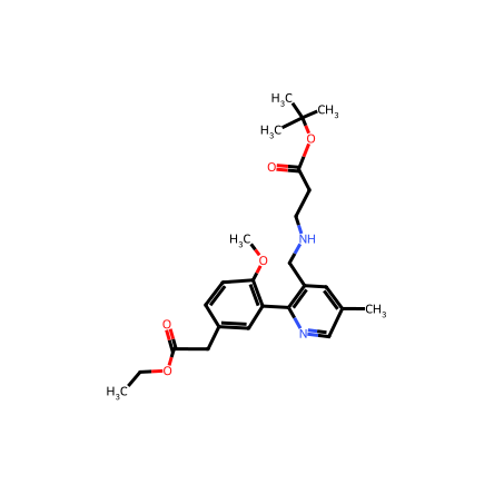 CCOC(=O)Cc1ccc(OC)c(-c2ncc(C)cc2CNCCC(=O)OC(C)(C)C)c1